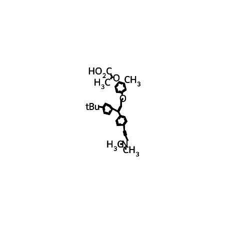 Cc1cc(OCC=C(c2ccc(C#CCN(C)C)cc2)c2ccc(C(C)(C)C)cc2)ccc1OC(C)C(=O)O